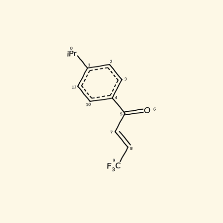 CC(C)c1ccc(C(=O)/C=C/C(F)(F)F)cc1